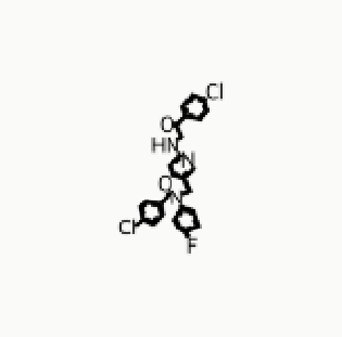 O=C(CNc1ccc(CN(C(=O)c2ccc(Cl)cc2)c2ccc(F)cc2)cn1)c1ccc(Cl)cc1